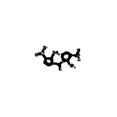 Nc1c([N+](=O)[O-])ccn1C(=O)n1ccc([N+](=O)[O-])c1N